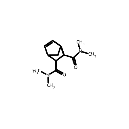 CN(C)C(=O)C1C2C=CC(C2)C1C(=O)N(C)C